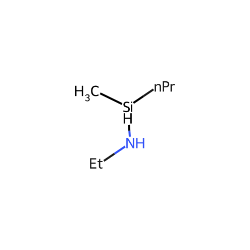 CCC[SiH](C)NCC